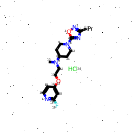 CC(C)c1noc(N2CCC(N(C)CCOc3ccnc(F)c3)CC2)n1.Cl